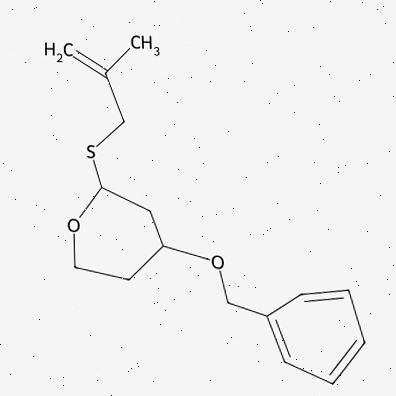 C=C(C)CSC1CC(OCc2ccccc2)CCO1